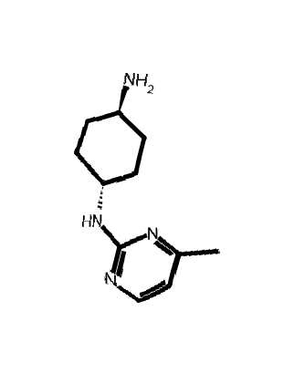 Cc1ccnc(N[C@H]2CC[C@H](N)CC2)n1